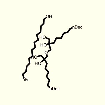 CC(C)CCCCCCCCCCCCCCCO.CCCCCCCCCCCCCCCCC(O)(CO)COCC(O)(CO)CCCCCCCCCCCCCCCC